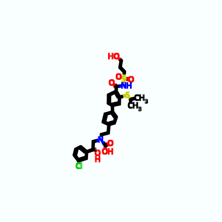 CC(C)Sc1cc(-c2ccc(CCN(C[C@H](O)c3cccc(Cl)c3)C(=O)O)cc2)ccc1C(=O)NS(=O)(=O)CCCO